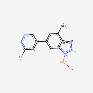 O=[N+]([O-])c1cc(-c2cnnc(Cl)c2)cc2c1cnn2PI